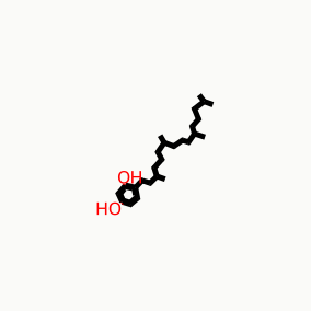 CC(C)CCCC(C)CCCC(C)CCCC(C)CCc1ccc(O)cc1O